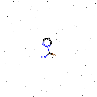 NC(=S)n1cccn1